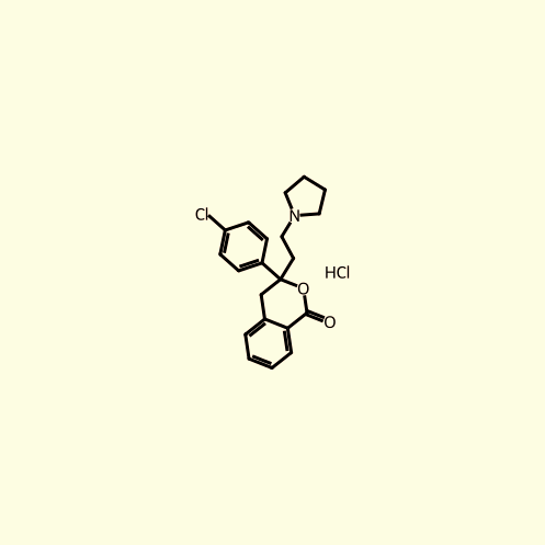 Cl.O=C1OC(CCN2CCCC2)(c2ccc(Cl)cc2)Cc2ccccc21